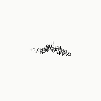 O=C(O)CNCP(=O)(O)OP(=O)(O)OC[C@H]1O[C@@H](n2cnc3c(NC(=O)NC4CCCC4)ncnc32)[C@@H](O)C1O